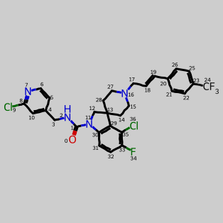 O=C(NCc1ccnc(Cl)c1)N1CC2(CCN(C/C=C/c3ccc(C(F)(F)F)cc3)CC2)c2c1ccc(F)c2Cl